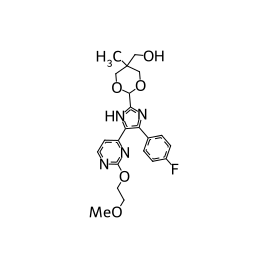 COCCOc1nccc(-c2[nH]c(C3OCC(C)(CO)CO3)nc2-c2ccc(F)cc2)n1